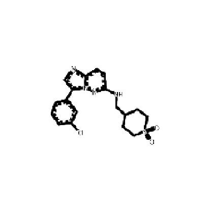 O=S1(=O)CCC(CNc2ccc3ncc(-c4cccc(Cl)c4)n3n2)CC1